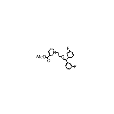 COC(=O)C1=CCCN(CCOC=C(c2cccc(F)c2)c2cccc(F)c2)C1